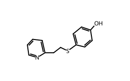 Oc1ccc(SCCc2ccccn2)cc1